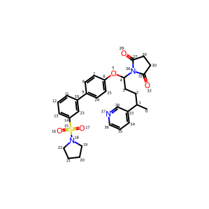 CC(CCC(Oc1ccc(-c2cccc(S(=O)(=O)N3CCCC3)c2)cc1)N1C(=O)CCC1=O)c1cccnc1